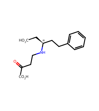 O=C(O)C[C@@H](CCc1ccccc1)NCCC(=O)C(=O)O